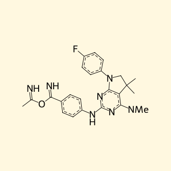 CNc1nc(Nc2ccc(C(=N)OC(C)=N)cc2)nc2c1C(C)(C)CN2c1ccc(F)cc1